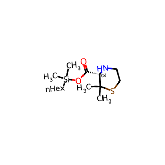 CCCCCC[Si](C)(C)OC(=O)[C@@H]1NCCSC1(C)C